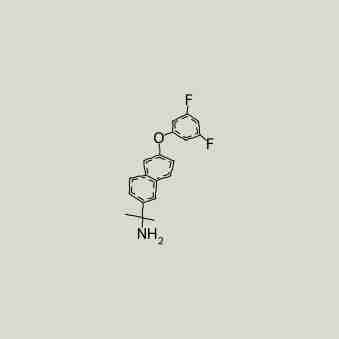 CC(C)(N)c1ccc2cc(Oc3cc(F)cc(F)c3)ccc2c1